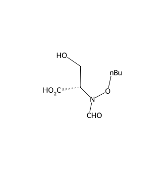 CCCCON(C=O)[C@@H](CO)C(=O)O